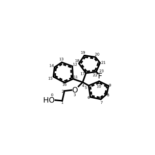 OCCOC(c1ccccc1)(c1ccccc1)c1ccccc1F